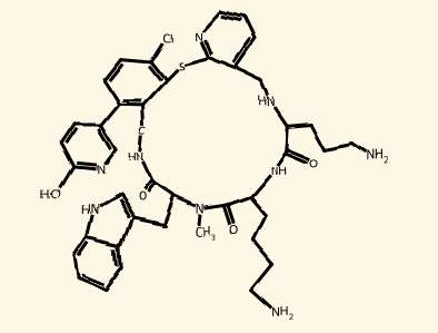 CN1C(=O)C(CCCCN)NC(=O)C(CCCN)NCc2cccnc2Sc2c(Cl)ccc(-c3ccc(O)nc3)c2CNC(=O)C1Cc1c[nH]c2ccccc12